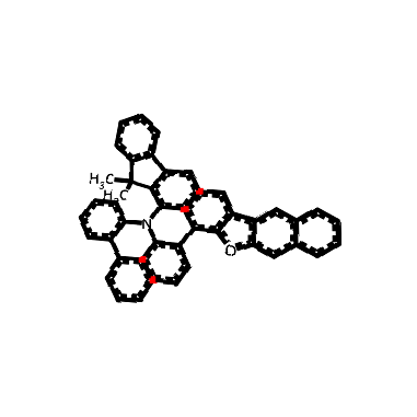 CC1(C)c2ccccc2-c2cccc(N(c3ccccc3-c3ccccc3)c3ccccc3-c3cccc4c3oc3cc5ccccc5cc34)c21